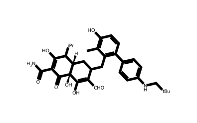 Cc1c(O)ccc(-c2ccc(NCC(C)(C)C)cc2)c1CC1C[C@H]2C(C(C)C)C(O)=C(C(N)=O)C(=O)[C@@]2(O)C(O)=C1C=O